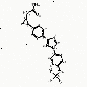 NC(=O)NC1CC1c1ccc(-c2ncn(-c3ccc(OC(F)(F)F)cc3)n2)cc1